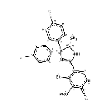 CCc1c(C2=N[C@@](c3ccc(F)cc3)(c3ccc(F)nc3)[C@H](C)N2)c[nH]c(=O)c1OC